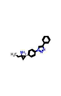 CC[C@@]1(N)C[C@H]1c1ccc(-n2cc(-c3ccccc3)nn2)cc1